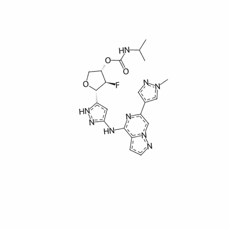 CC(C)NC(=O)O[C@H]1CO[C@@H](c2cc(Nc3nc(-c4cnn(C)c4)cn4nccc34)n[nH]2)[C@@H]1F